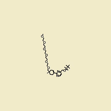 COCCOCCOCCOCCOCCOC[C@]1(C)CC=C(c2nccc(CO[Si](C)(C)C(C)(C)C)n2)CC1